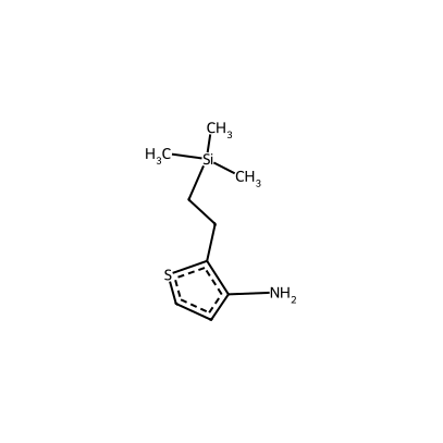 C[Si](C)(C)CCc1sccc1N